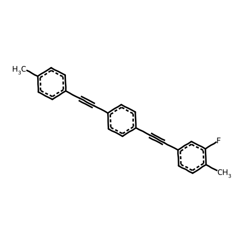 Cc1ccc(C#Cc2ccc(C#Cc3ccc(C)c(F)c3)cc2)cc1